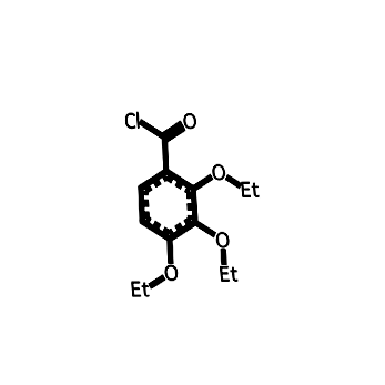 CCOc1ccc(C(=O)Cl)c(OCC)c1OCC